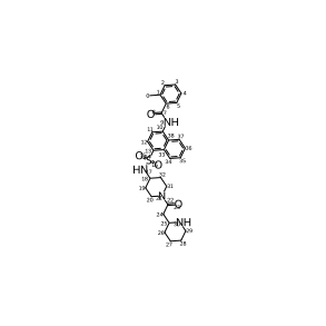 Cc1ccccc1C(=O)Nc1ccc(S(=O)(=O)NC2CCN(C(=O)CC3CCCCN3)CC2)c2ccccc12